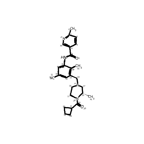 Cc1ccc(C(=O)Nc2cc(C#N)cc(CN3CCN(C(=O)C4CCC4)[C@@H](C)C3)c2C)cn1